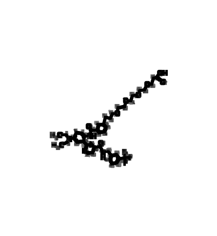 CCN(CC)c1ccc(NC(=O)c2cccc(CCCOCCOCCOCCOCCC(=O)O)c2)c(-c2nccc(C(=O)NCc3cccc(C(F)(F)F)c3)n2)c1